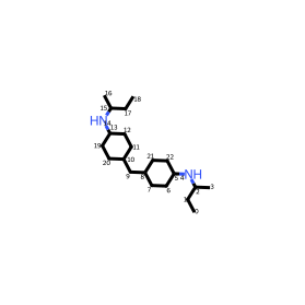 CCC(C)NC1CCC(CC2CCC(NC(C)CC)CC2)CC1